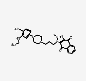 C[n+]1nc2c(n1CCCN1CCN(c3ccc([N+](=O)[O-])c(NCC(C)(C)C)c3)CC1)C(=O)c1ccccc1C2=O